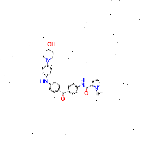 CC(C)n1cccc1C(=O)Nc1ccc(C(=O)c2ccc(Nc3ccc(N4CCC(O)CC4)cc3)cc2)cc1